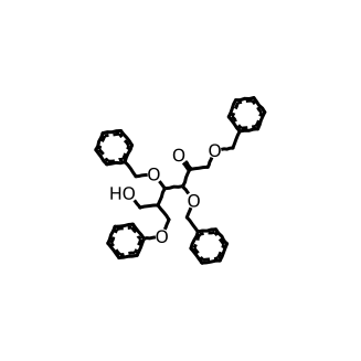 O=C(COCc1ccccc1)C(OCc1ccccc1)C(OCc1ccccc1)C(CO)COc1ccccc1